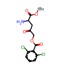 CC(C)(C)OC(=O)C(N)CC(=O)COC(=O)c1c(Cl)cccc1Cl